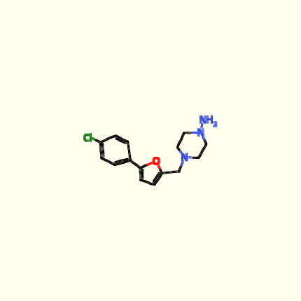 NN1CCN(Cc2ccc(-c3ccc(Cl)cc3)o2)CC1